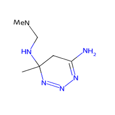 CNCNC1(C)CC(N)=NN=N1